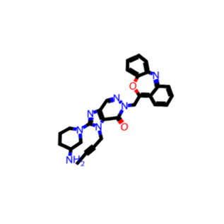 CC#CCn1c(N2CCCC(N)C2)nc2cnn(CC3=c4ccccc4=Nc4ccccc4O3)c(=O)c21